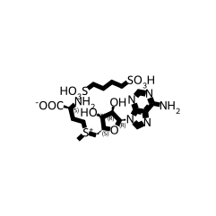 C[S+](CC[C@H](N)C(=O)[O-])C[C@H]1O[C@@H](n2cnc3c(N)ncnc32)[C@H](O)[C@@H]1O.O=S(=O)(O)CCCCS(=O)(=O)O